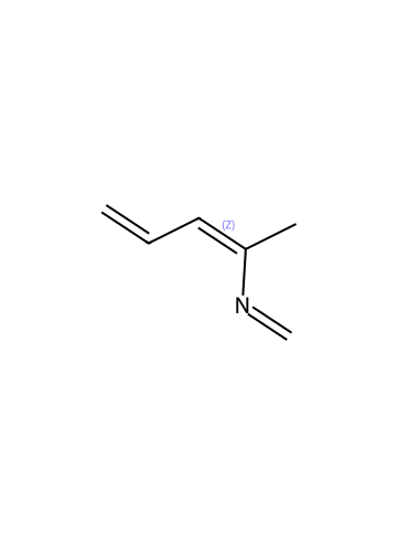 C=C/C=C(/C)N=C